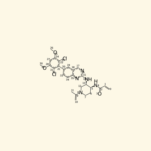 C=CC(=O)N[C@H]1CCN(C(=C)C)C[C@H]1Nc1ncc2cc(-c3c(Cl)c(OC)cc(OC)c3Cl)ccc2n1